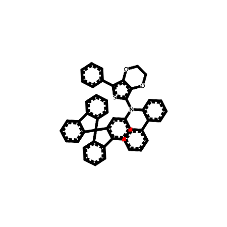 c1ccc(-c2ccccc2N(c2ccc3c(c2)C2(c4ccccc4-c4ccccc42)c2ccccc2-3)c2sc(-c3ccccc3)c3c2OCCO3)cc1